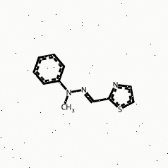 CN(N=Cc1nccs1)c1ccccc1